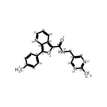 Cc1ccc(-c2oc(C(=O)NCc3cnc(C(F)(F)F)nc3)c3cccnc23)cc1